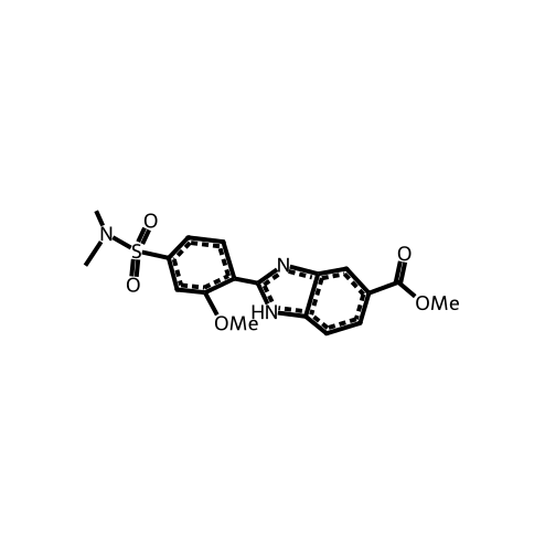 COC(=O)c1ccc2[nH]c(-c3ccc(S(=O)(=O)N(C)C)cc3OC)nc2c1